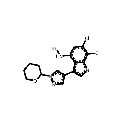 CCNc1cc(Cl)c(Cl)c2[nH]cc(-c3cnn(C4CCCCO4)c3)c12